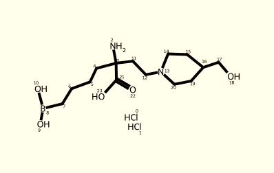 Cl.Cl.NC(CCCCB(O)O)(CCN1CCC(CO)CC1)C(=O)O